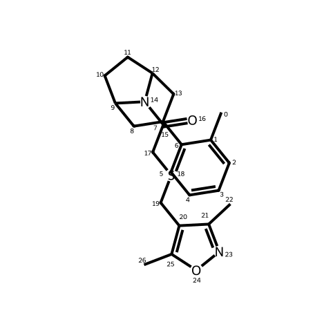 Cc1ccccc1C1CC2CCC(C1)N2C(=O)CSCc1c(C)noc1C